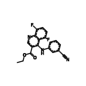 CCOC(=O)c1cnc2c(F)ccc(F)c2c1Nc1cccc(C#N)c1